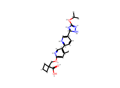 Cc1cc(OCC2(C(=O)O)CCC2)ncc1-c1ccc(-c2nc(OC(C)C)n[nH]2)cn1